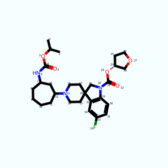 CC(C)OC(=O)NC1CCCCC(N2CCC3(CC2)CN(C(=O)O[C@@H]2CCOC2)c2ccc(F)cc23)C1